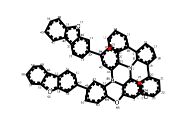 Clc1cc2c3c(c1)N(c1c(-c4ccccc4)cccc1-c1ccccc1)c1ccc(-c4ccc5c(c4)oc4ccccc45)cc1B3c1cc(-c3ccc4c(c3)oc3ccccc34)ccc1O2